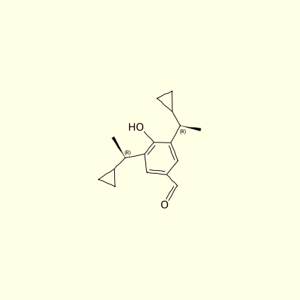 C[C@@H](c1cc(C=O)cc([C@H](C)C2CC2)c1O)C1CC1